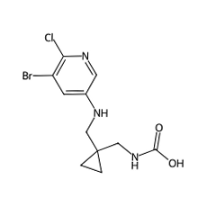 O=C(O)NCC1(CNc2cnc(Cl)c(Br)c2)CC1